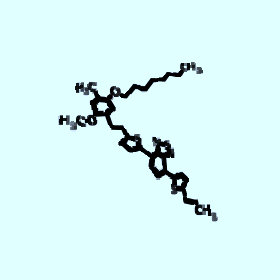 C/C=C/c1ccc(-c2ccc(-c3ccc(/C=C/c4cc(OCCCCCCCC)c(C)cc4OC)s3)c3nsnc23)s1